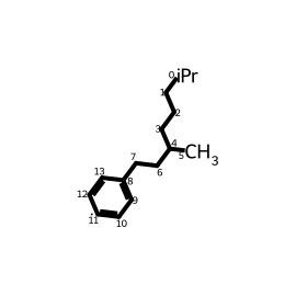 CC(C)CCCC(C)CCc1cc[c]cc1